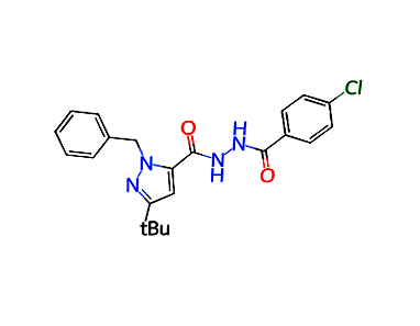 CC(C)(C)c1cc(C(=O)NNC(=O)c2ccc(Cl)cc2)n(Cc2ccccc2)n1